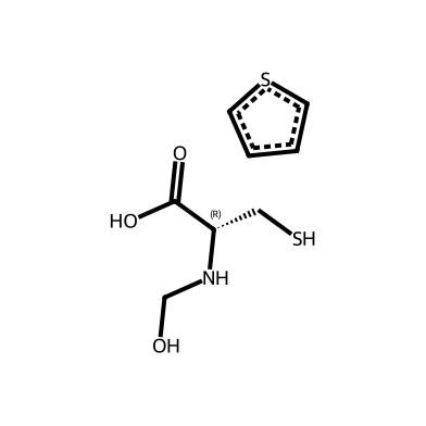 O=C(O)[C@H](CS)NCO.c1ccsc1